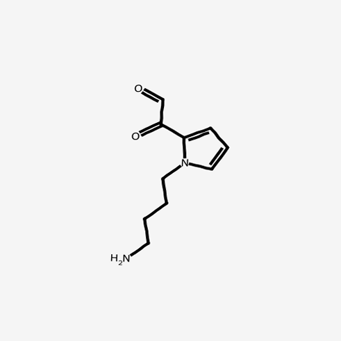 NCCCCn1cccc1C(=O)C=O